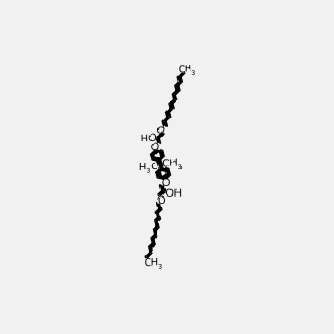 CCCCCCCCCCCCCCOCC(O)COc1ccc(C(C)(C)c2ccc(OCC(O)COCCCCCCCCCCCCCC)cc2)cc1